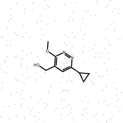 COc1nnc(C2CC2)cc1CO